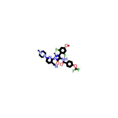 COc1cc(F)c(-c2c(NC(=O)c3ccc(OC(F)F)cc3)c(=O)n(-c3nc(N4CCN(C)CC4)ccc3C#N)n2C)c(F)c1